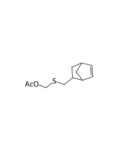 CC(=O)OCSCC1CC2C=CC1C2